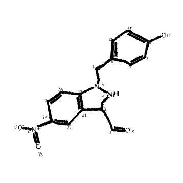 O=CC1NN(Cc2ccc(Cl)cc2)c2ccc([N+](=O)[O-])cc21